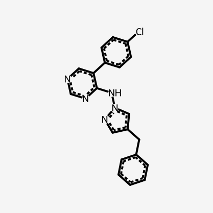 Clc1ccc(-c2cncnc2Nn2cc(Cc3ccccc3)cn2)cc1